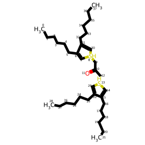 CCCCCCC1=C[SH](CC(=O)C[SH]2C=C(CCCCCC)C(CCCCCC)=C2)C=C1CCCCCC